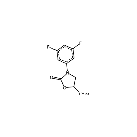 CCCCCCC1CN(c2cc(F)cc(F)c2)C(=O)O1